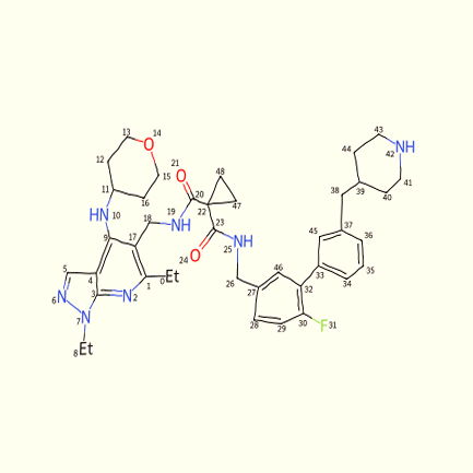 CCc1nc2c(cnn2CC)c(NC2CCOCC2)c1CNC(=O)C1(C(=O)NCc2ccc(F)c(-c3cccc(CC4CCNCC4)c3)c2)CC1